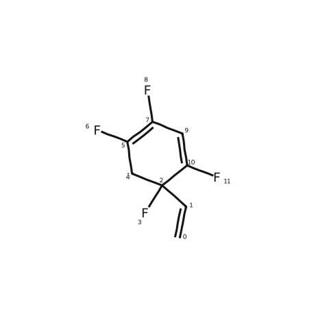 C=CC1(F)[CH]C(F)=C(F)C=C1F